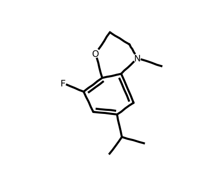 CC(C)c1cc(F)c2c(c1)N(C)CCO2